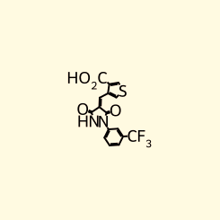 O=C1NN(c2cccc(C(F)(F)F)c2)C(=O)C1=Cc1cscc1C(=O)O